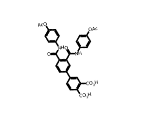 CC(=O)Oc1ccc(NC(=O)c2ccc(-c3ccc(C(=O)O)c(C(=O)O)c3)cc2C(=O)Nc2ccc(OC(C)=O)cc2)cc1